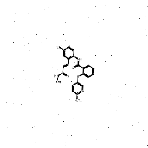 Cc1ccc(Oc2ccccc2C(=O)Nc2ccc(Cl)cc2C=CC(=O)NO)cn1